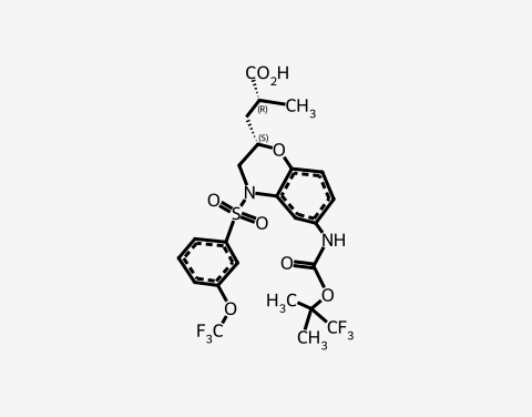 C[C@H](C[C@H]1CN(S(=O)(=O)c2cccc(OC(F)(F)F)c2)c2cc(NC(=O)OC(C)(C)C(F)(F)F)ccc2O1)C(=O)O